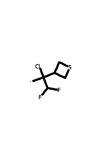 [CH2]C(Cl)(C(F)F)C1CSC1